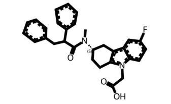 CN(C(=O)C(Cc1ccccc1)c1ccccc1)[C@H]1CCc2c(c3cc(F)ccc3n2CC(=O)O)C1